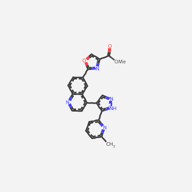 COC(=O)c1coc(-c2ccc3nccc(-c4cn[nH]c4-c4cccc(C)n4)c3c2)n1